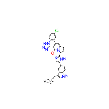 O=C(O)Cc1c[nH]c2ccc(-c3cnc([C@@H]4CCc5cc(-c6cc(Cl)ccc6-n6cnnn6)cc(=O)n54)[nH]3)cc12